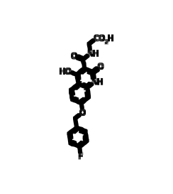 O=C(O)CNC(=O)c1c(O)c2ccc(OCc3ccc(F)cc3)cc2[nH]c1=O